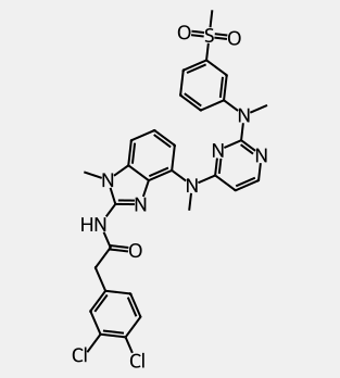 CN(c1cccc(S(C)(=O)=O)c1)c1nccc(N(C)c2cccc3c2nc(NC(=O)Cc2ccc(Cl)c(Cl)c2)n3C)n1